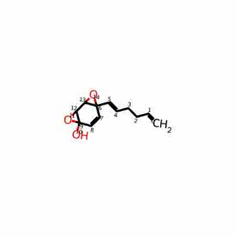 C=CCCC=CC12C=CC3(O)OC3C1O2